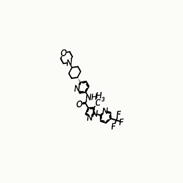 Cc1c(C(=O)Nc2ccc([C@H]3CC[C@H](N4CCOCC4)CC3)nc2)cnn1-c1ccc(C(F)(F)F)cn1